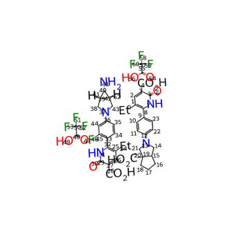 CCc1cc(C(=O)O)c(=O)[nH]c1-c1ccc(N2CC3CCCC3(C(=O)O)C2)cc1.CCc1cc(C(=O)O)c(=O)[nH]c1-c1ccc(N2C[C@@H]3[C@H](N)[C@@H]3C2)cc1F.O=C(O)C(F)(F)F.O=C(O)C(F)(F)F